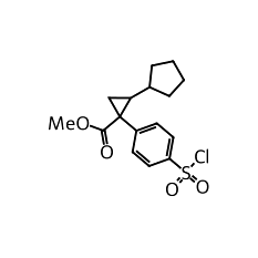 COC(=O)C1(c2ccc(S(=O)(=O)Cl)cc2)CC1C1CCCC1